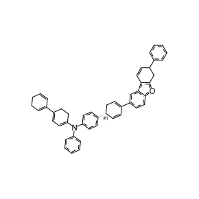 C1=CC(C2=CC=C(N(c3ccccc3)c3ccc([C@H]4C=CC(c5ccc6oc7c(c6c5)C=CC(c5ccccc5)C7)=CC4)cc3)CC2)=CCC1